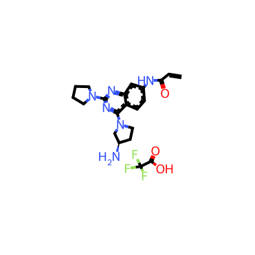 C=CC(=O)Nc1ccc2c(N3CC[C@@H](N)C3)nc(N3CCCC3)nc2c1.O=C(O)C(F)(F)F